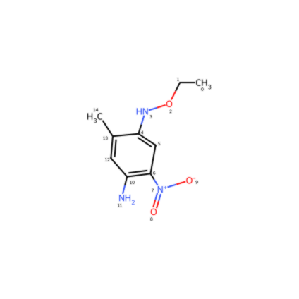 CCONc1cc([N+](=O)[O-])c(N)cc1C